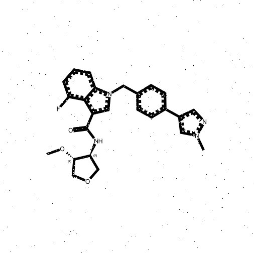 CO[C@H]1COC[C@@H]1NC(=O)c1cn(Cc2ccc(-c3cnn(C)c3)cc2)c2cccc(F)c12